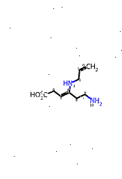 C=CCNC(=CCC(=O)O)CCN